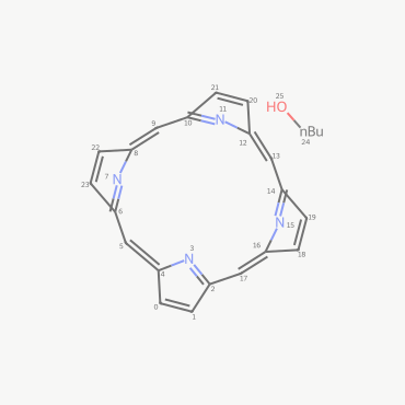 C1=CC2=NC1=CC1=NC(=CC3=NC(=CC4=NC(=C2)C=C4)C=C3)C=C1.CCCCO